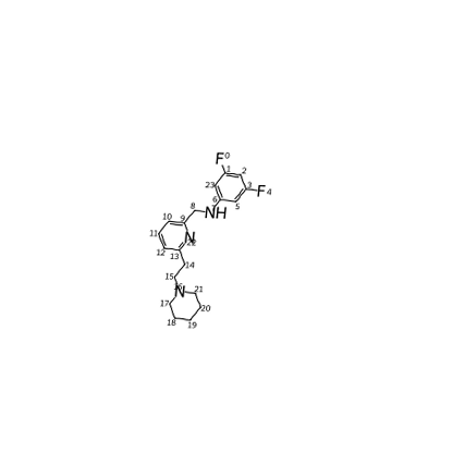 Fc1cc(F)cc(NCc2cccc(CCN3CCCCC3)n2)c1